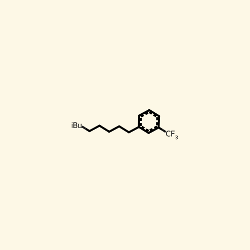 [CH2]C(CC)CCCCCc1cccc(C(F)(F)F)c1